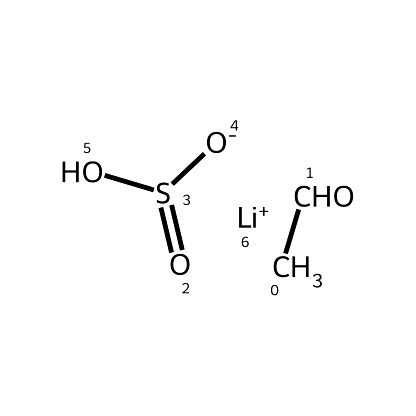 CC=O.O=S([O-])O.[Li+]